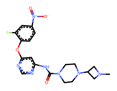 CN1CC(N2CCN(C(=O)Nc3cc(Oc4ccc([N+](=O)[O-])cc4F)ncn3)CC2)C1